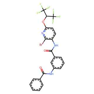 O=C(Nc1cccc(C(=O)Nc2ccc(OC(C(F)(F)F)C(F)(F)F)nc2Br)c1)c1ccccc1